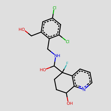 OCc1cc(Cl)cc(Cl)c1CNC(O)C1(F)CCC(O)c2ncccc21